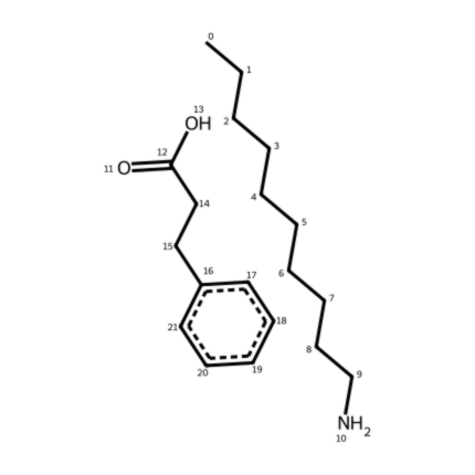 CCCCCCCCCCN.O=C(O)CCc1ccccc1